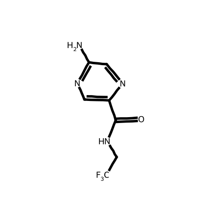 Nc1cnc(C(=O)NCC(F)(F)F)cn1